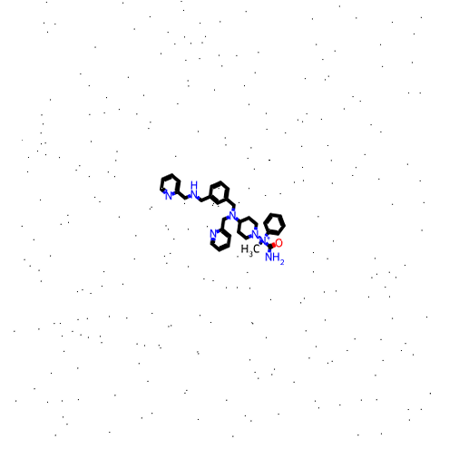 C[N+](C(N)=O)(c1ccccc1)N1CCC(N(Cc2cccc(CNCc3ccccn3)c2)Cc2ccccn2)CC1